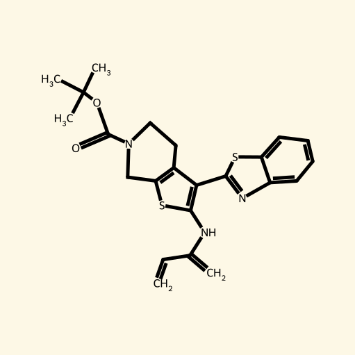 C=CC(=C)Nc1sc2c(c1-c1nc3ccccc3s1)CCN(C(=O)OC(C)(C)C)C2